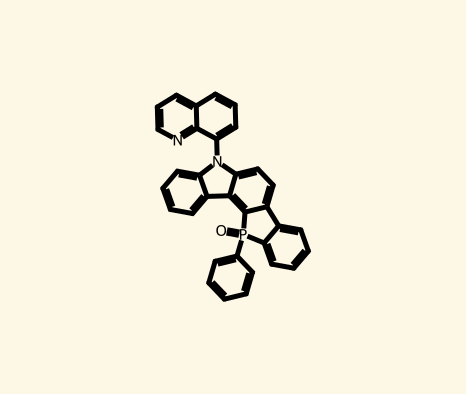 O=P1(c2ccccc2)c2ccccc2-c2ccc3c(c21)c1ccccc1n3-c1cccc2cccnc12